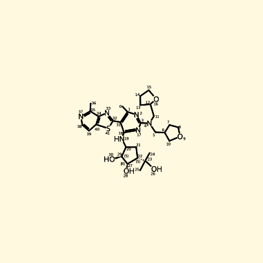 Cc1nc(N(CC2CCOC2)CC2CCCO2)nc(NC2C[C@H](C(C)(C)O)[C@@H](O)[C@H]2O)c1-c1nc2c(C)nccc2s1